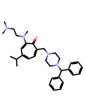 CC(C)c1ccc(CN2CCN(C(c3ccccc3)c3ccccc3)CC2)c(=O)c(N(C)CCN(C)C)c1